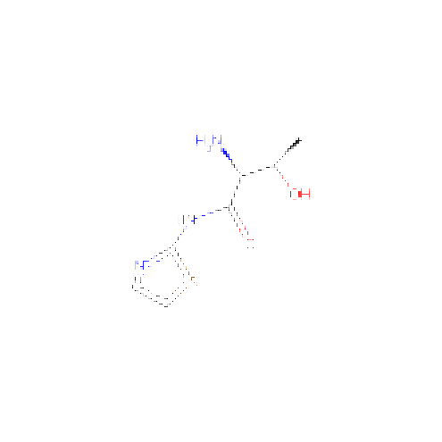 C[C@@H](O)[C@H](N)C(=O)Nc1nccs1